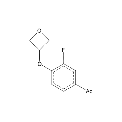 CC(=O)c1ccc(OC2COC2)c(F)c1